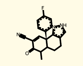 CC1C(=O)C(C#N)=C[C@]2(c3ccc(F)cc3)c3n[nH]cc3CCC12